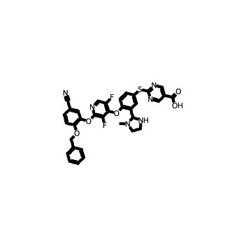 CN1CCNC1c1cc(Sc2ncc(C(=O)O)cn2)ccc1Oc1c(F)cnc(Oc2cc(C#N)ccc2OCc2ccccc2)c1F